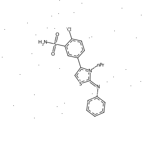 CCCn1c(-c2ccc(Cl)c(S(N)(=O)=O)c2)csc1=Nc1ccccc1